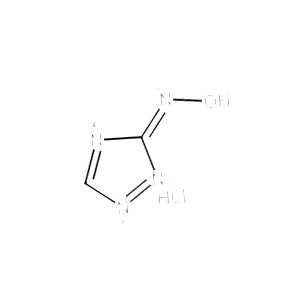 Cl.ON=C1N=CN=N1